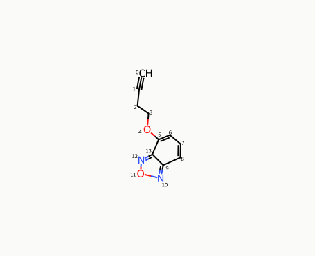 C#CCCOc1cccc2nonc12